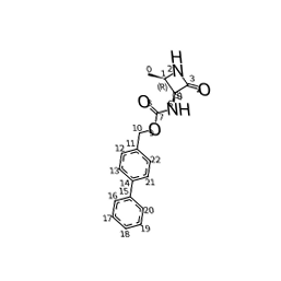 C[C@H]1NC(=O)[C@H]1NC(=O)OCc1ccc(-c2ccccc2)cc1